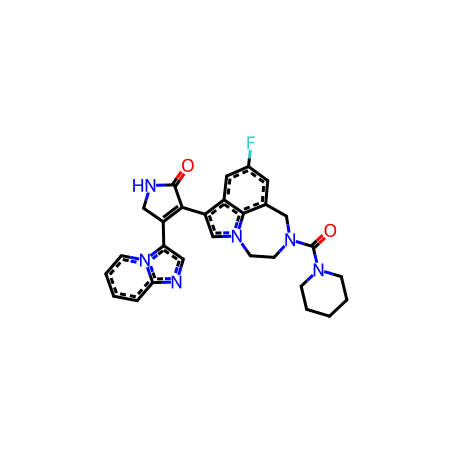 O=C1NCC(c2cnc3ccccn23)=C1c1cn2c3c(cc(F)cc13)CN(C(=O)N1CCCCC1)CC2